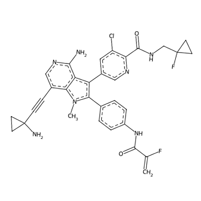 C=C(F)C(=O)Nc1ccc(-c2c(-c3cnc(C(=O)NCC4(F)CC4)c(Cl)c3)c3c(N)ncc(C#CC4(N)CC4)c3n2C)cc1